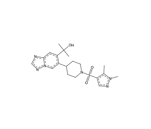 Cc1c(S(=O)(=O)N2CCC(c3cn4ncnc4cc3C(C)(C)O)CC2)cnn1C